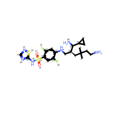 CC(C)(CCN)C[C@@H](CNc1cc(F)c(S(=O)(=O)Nc2ncns2)cc1F)C(N)C1CC1